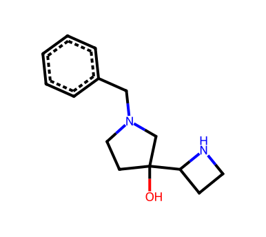 OC1(C2CCN2)CCN(Cc2ccccc2)C1